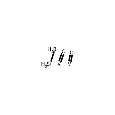 B[SiH3].[O]=[V].[O]=[V]